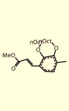 CCCCCCCCOc1c(C)ccc(/C=C/C(=O)OC)c1OCCCCCCCC